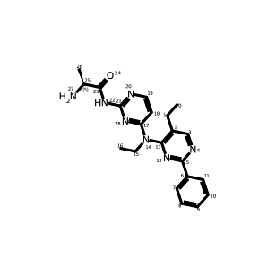 CCc1cnc(-c2ccccc2)nc1N(CC)c1ccnc(NC(=O)[C@H](C)N)n1